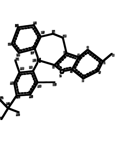 Cc1ccc2oc3c(c2c1)CCc1ccccc1N3c1c(C)cc(C(C)(C)C)cc1C